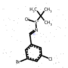 CC(C)(C)[S+]([O-])/N=C/c1cc(Cl)cc(Br)c1